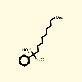 CCCCCCCCCCCCCCCCCCC(CCCCCCCC)(c1ccccc1)S(=O)(=O)O